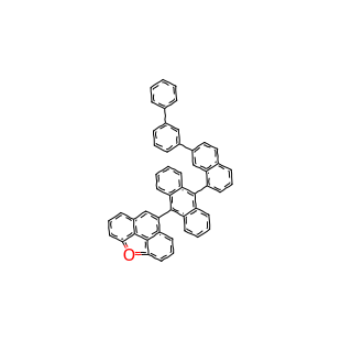 c1ccc(-c2cccc(-c3ccc4cccc(-c5c6ccccc6c(-c6cc7cccc8oc9cccc6c9c78)c6ccccc56)c4c3)c2)cc1